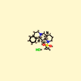 CS(=O)(=O)N1CCC[C@@H]2CN3CCc4ccccc4[C@@H]3C[C@@H]21.Cl